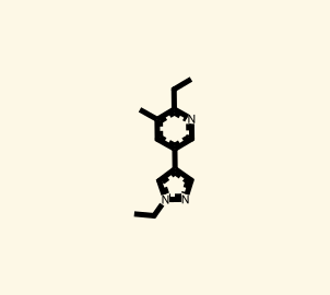 CCc1ncc(-c2cnn(CC)c2)cc1C